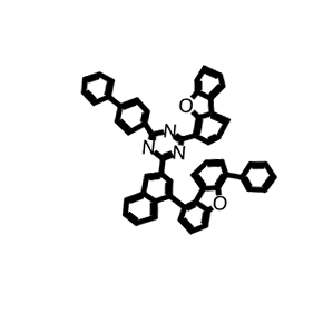 c1ccc(-c2ccc(-c3nc(-c4cc(-c5cccc6oc7c(-c8ccccc8)cccc7c56)c5ccccc5c4)nc(-c4cccc5c4oc4ccccc45)n3)cc2)cc1